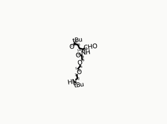 CC(C)(C)NCCOCCOCC(=O)NC(C=O)CCC(=O)C(C)(C)C